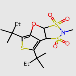 CCC(C)(C)c1sc(C(C)(C)CC)c2c1OC1C2S(=O)(=O)N(C)S1(=O)=O